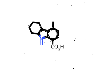 Cc1ccc(C(=O)O)c2[nH]c3c(c12)CCCC3